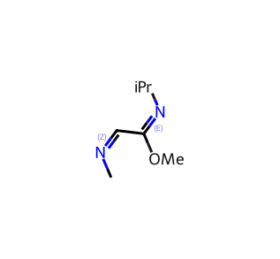 C/N=C\C(=N/C(C)C)OC